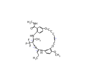 CC/C=C1/N=C\C(C(F)(F)F)=C(/C)Nc2ccc(cc2C(=O)NC)OCCC/C=C\COc2cc(ccc2OC)N1